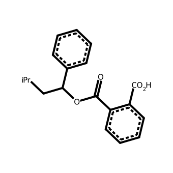 CC(C)CC(OC(=O)c1ccccc1C(=O)O)c1ccccc1